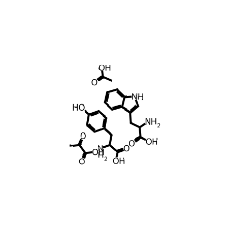 CC(=O)C(=O)O.CC(=O)O.NC(Cc1c[nH]c2ccccc12)C(=O)O.NC(Cc1ccc(O)cc1)C(=O)O